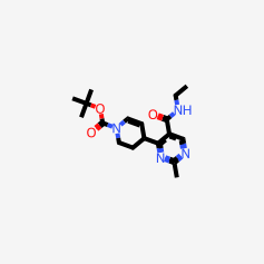 CCNC(=O)c1cnc(C)nc1C1C=CN(C(=O)OC(C)(C)C)CC1